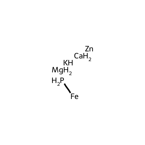 [CaH2].[KH].[MgH2].[PH2][Fe].[Zn]